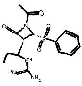 CCC(NC(=N)N)[C@H]1C(=O)N(C(C)=O)[C@@H]1S(=O)(=O)c1ccccc1